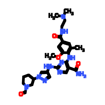 COc1cc(C(=O)NCCN(C)C)cc(C)c1Nc1nc(Nc2cnn(C3CCCN(C=O)C3)c2)ncc1C(N)=O